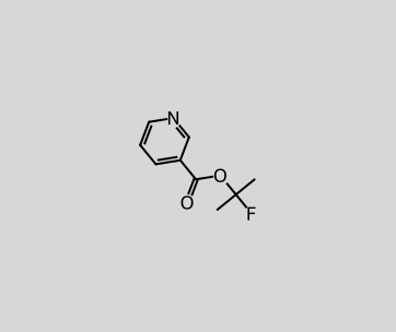 CC(C)(F)OC(=O)c1cccnc1